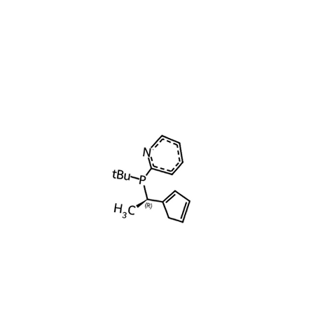 C[C@H](C1=CC=CC1)P(c1ccccn1)C(C)(C)C